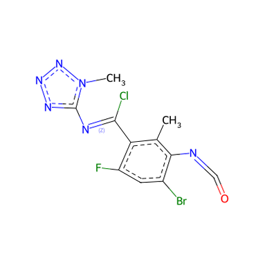 Cc1c(N=C=O)c(Br)cc(F)c1/C(Cl)=N/c1nnnn1C